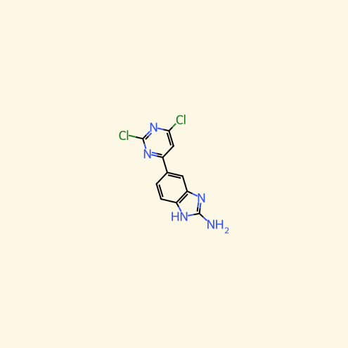 Nc1nc2cc(-c3cc(Cl)nc(Cl)n3)ccc2[nH]1